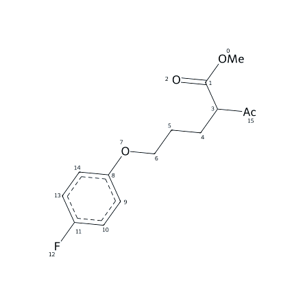 COC(=O)C(CCCOc1ccc(F)cc1)C(C)=O